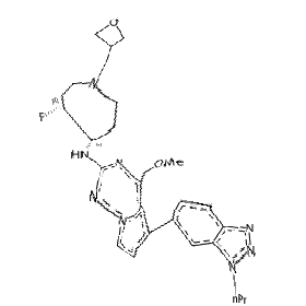 CCCn1nnc2ccc(-c3ccn4nc(N[C@H]5CCN(C6COC6)C[C@H]5F)nc(OC)c34)cc21